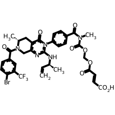 C=C[C@H](C)Nc1nc2c(c(=O)n1-c1ccc(C(=O)N(C)C(=O)OCOC(=O)/C=C/C(=O)O)cc1)C[C@@H](C)N(C(=O)c1ccc(Br)c(C(F)(F)F)c1)C2